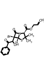 C=CCOC(=O)[C@@H]1N2C(=O)[C@@](Br)(C(O)C(=O)c3ccccc3)[C@H]2SC1(C)C